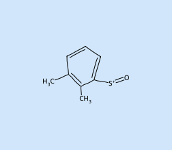 Cc1cccc([S+]=O)c1C